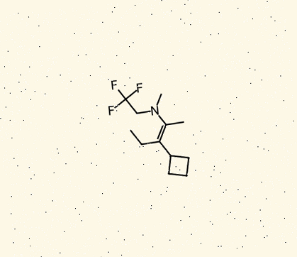 CC/C(=C(/C)N(C)CC(F)(F)F)C1CCC1